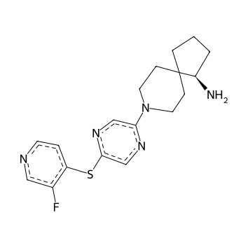 N[C@@H]1CCCC12CCN(c1cnc(Sc3ccncc3F)cn1)CC2